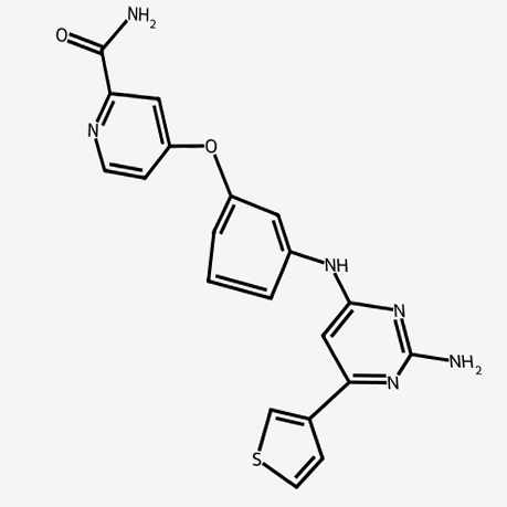 NC(=O)c1cc(Oc2cccc(Nc3cc(-c4ccsc4)nc(N)n3)c2)ccn1